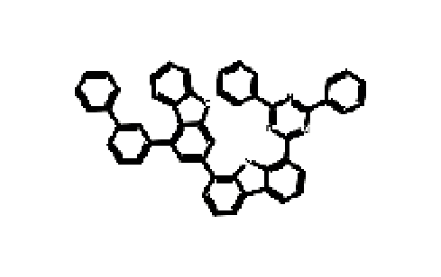 c1ccc(-c2cccc(-c3cc(-c4cccc5c4sc4c(-c6nc(-c7ccccc7)nc(-c7ccccc7)n6)cccc45)cc4oc5ccccc5c34)c2)cc1